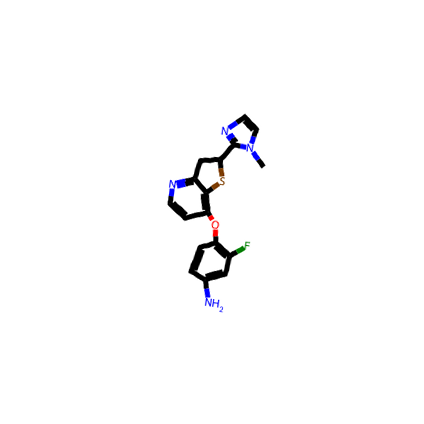 Cn1ccnc1C1Cc2nccc(Oc3ccc(N)cc3F)c2S1